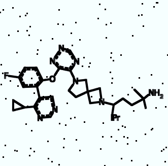 CC(C)C(CCC(C)(C)N)N1CC2(CCN(c3ncnnc3Oc3ccc(F)cc3-c3cncnc3C3CC3)C2)C1